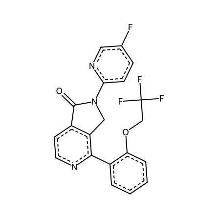 O=C1c2ccnc(-c3ccccc3OCC(F)(F)F)c2CN1c1ccc(F)cn1